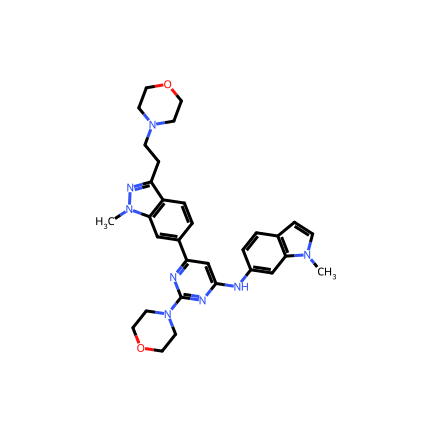 Cn1ccc2ccc(Nc3cc(-c4ccc5c(CCN6CCOCC6)nn(C)c5c4)nc(N4CCOCC4)n3)cc21